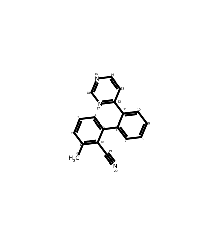 Cc1cccc(-c2ccccc2-c2ccncn2)c1C#N